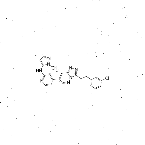 Cn1nccc1Nc1nccc(-c2cnn3c(CCc4cccc(Cl)c4)nnc3c2)n1